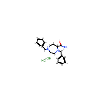 Cl.Cl.NC(=O)C1CCN(Cc2ccccc2)CCN1Cc1ccccc1